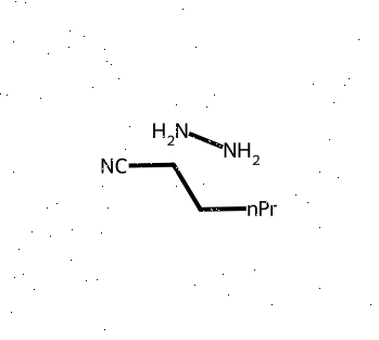 CCCCCC#N.NN